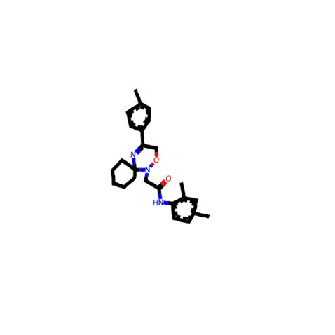 Cc1ccc(C2=NC3(CCCCC3)N(CC(=O)Nc3ccc(C)cc3C)OC2)cc1